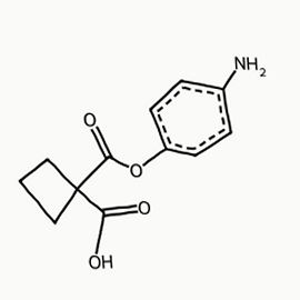 Nc1ccc(OC(=O)C2(C(=O)O)CCC2)cc1